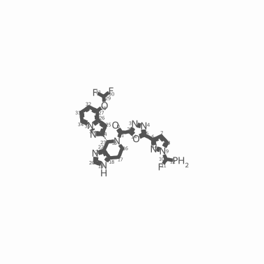 O=C(c1nnc(-c2ccn(C(F)P)n2)o1)N1CCc2[nH]cnc2[C@@H]1c1cc2c(OC(F)F)cccn2n1